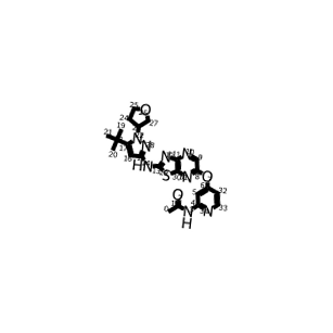 CC(=O)Nc1cc(Oc2cnc3nc(Nc4cc(C(C)(C)C)n(C5CCOC5)n4)sc3n2)ccn1